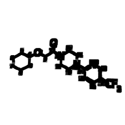 O=C(COC1CCCCC1)N1CCN(c2ccc(C(F)(F)F)cn2)CC1